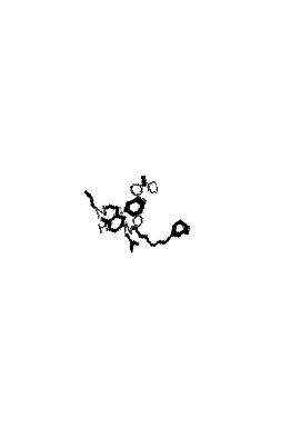 C=CCN1CC[C@@]2(c3cccc(OC(C)=O)c3)C[C@H](N(CC(C)C)C(=O)CCCCCc3ccccc3)CC[C@@H]2C1